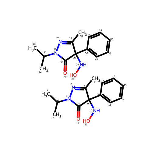 CC1=NN(C(C)C)C(=O)C1(NO)c1ccccc1.CC1=NN(C(C)C)C(=O)C1(NO)c1ccccc1